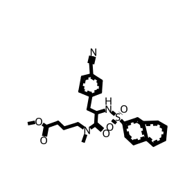 COC(=O)CCCN(C)C(=O)C(Cc1ccc(C#N)cc1)NS(=O)(=O)c1ccc2ccccc2c1